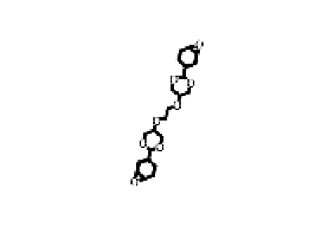 C(COC1COC(C2CCC3OC3C2)OC1)OC1COC(C2CCC3OC3C2)OC1